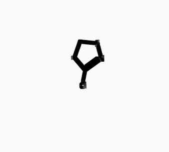 ClC1=NSC[C]1